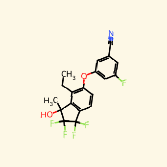 CCc1c(Oc2cc(F)cc(C#N)c2)ccc2c1C(C)(O)C(F)(F)C2(F)F